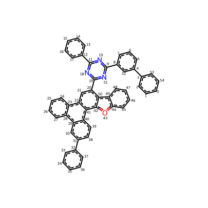 c1ccc(-c2cccc(-c3nc(-c4ccccc4)nc(-c4cc5c6ccccc6c6cc(-c7ccccc7)ccc6c5c5oc6ccccc6c45)n3)c2)cc1